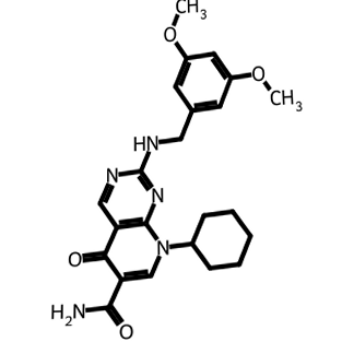 COc1cc(CNc2ncc3c(=O)c(C(N)=O)cn(C4CCCCC4)c3n2)cc(OC)c1